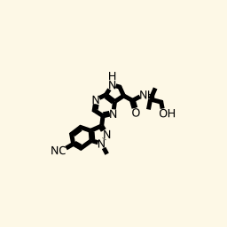 Cn1nc(-c2cnc3c(n2)C(C(=O)NC(C)(C)CO)CN3)c2ccc(C#N)cc21